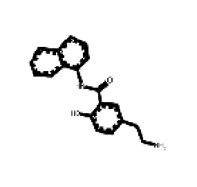 NCCc1ccc(O)c(C(=O)Nc2cccc3ccccc23)c1